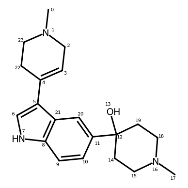 CN1CC=C(c2c[nH]c3ccc(C4(O)CCN(C)CC4)cc23)CC1